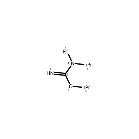 CCCOC(=N)N(CC)CCC